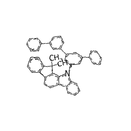 CC1(C)c2ccccc2-c2ccc3c4ccccc4n(-c4cc(-c5ccccc5)cc(-c5cccc(-c6ccccc6)c5)c4)c3c21